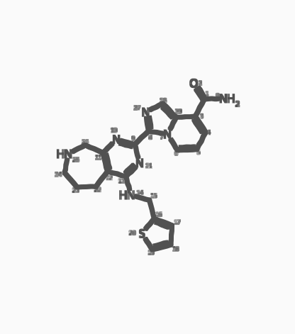 NC(=O)c1cccn2c(-c3nc4c(c(NCc5cccs5)n3)CCCNC4)ncc12